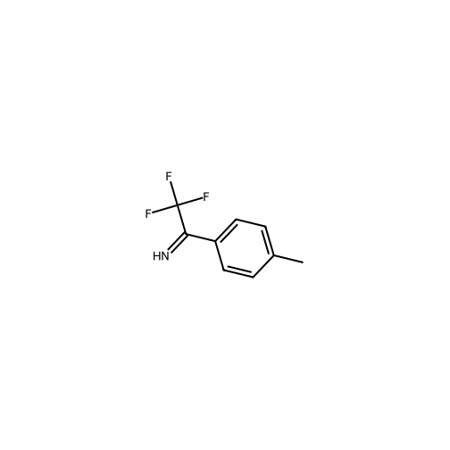 Cc1ccc(C(=N)C(F)(F)F)cc1